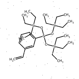 C=Cc1cccc([Si](O[Si](CC)(CC)CC)(O[Si](CC)(CC)CC)O[Si](CC)(CC)CC)c1